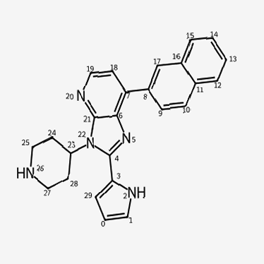 c1c[nH]c(-c2nc3c(-c4ccc5ccccc5c4)ccnc3n2C2CCNCC2)c1